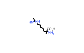 CC(=N)NC/C=C/CCC(C)(N)C(=O)O